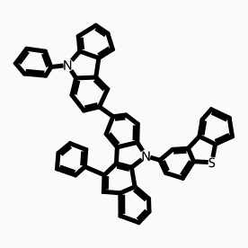 c1ccc(-c2cc3ccccc3c3c2c2cc(-c4ccc5c(c4)c4ccccc4n5-c4ccccc4)ccc2n3-c2ccc3sc4ccccc4c3c2)cc1